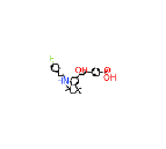 CC1(C)CCC(C)(C)c2c(NCCc3ccc(F)cc3)cc(C(O)C=Cc3ccc(C(=O)O)cc3)cc21